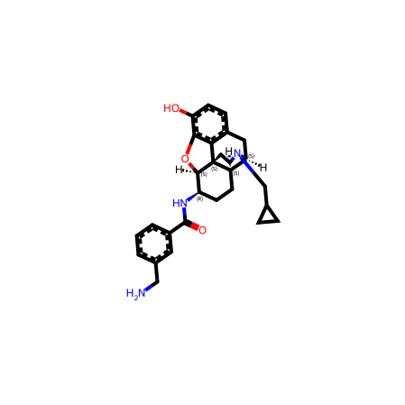 NCc1cccc(C(=O)N[C@@H]2CC[C@@H]3[C@@H]4Cc5ccc(O)c6c5[C@@]3(CCN4CC3CC3)[C@@H]2O6)c1